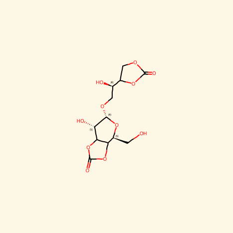 O=C1OCC([C@H](O)CO[C@@H]2O[C@@H](CO)C3OC(=O)OC3[C@@H]2O)O1